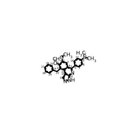 COc1cc2c(-c3ccc(N(C)C)cc3)nc3[nH]ncc3c2c(Cc2ccccc2)c1OC